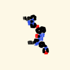 CC1CCCCN1c1nnc2ccc(O[C@@H]3CC[C@H](NC(=O)Nc4cc(C(C)(C)C)nn4-c4ccc(CN5CCOCC5)cc4)c4ccccc43)cn12